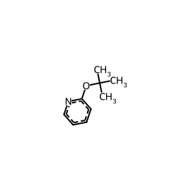 CC(C)(C)Oc1ccccn1